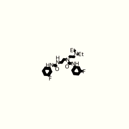 CCN(CC)CCN(CCNC(=O)Nc1cccc(F)c1)C(=O)Nc1cccc(F)c1